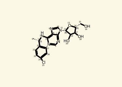 C[C@H](Nc1ncnc2c1ncn2[C@@H]1O[C@H](CO)C(O)C1O)c1ccc(Cl)cc1